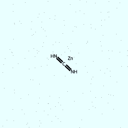 N=C=N.[Zn]